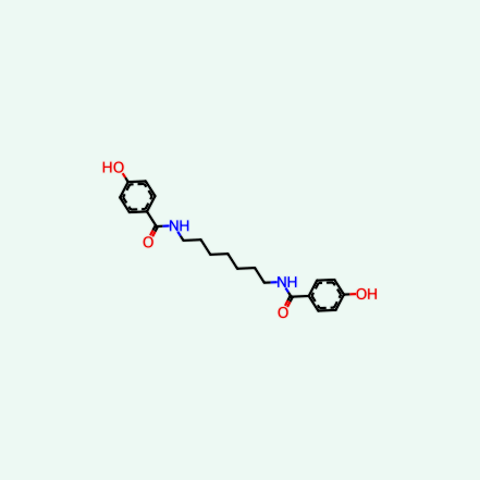 O=C(NCCCCCCCNC(=O)c1ccc(O)cc1)c1ccc(O)cc1